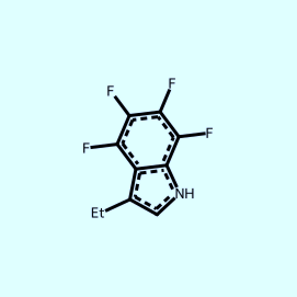 CCc1c[nH]c2c(F)c(F)c(F)c(F)c12